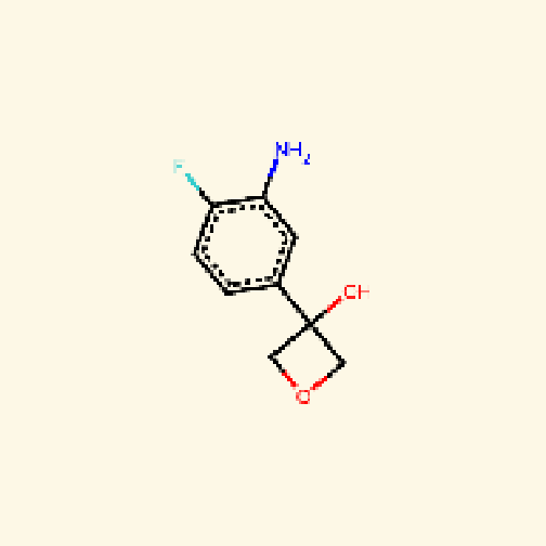 Nc1cc(C2(O)COC2)ccc1F